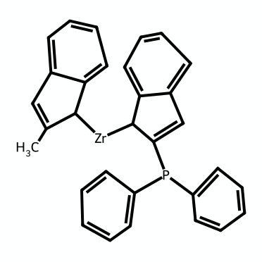 CC1=Cc2ccccc2[CH]1[Zr][CH]1C(P(c2ccccc2)c2ccccc2)=Cc2ccccc21